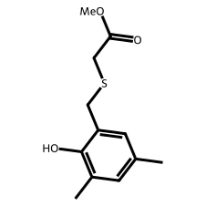 COC(=O)CSCc1cc(C)cc(C)c1O